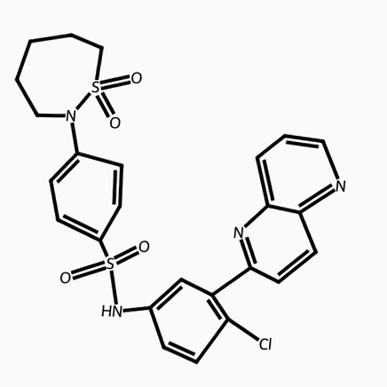 O=S(=O)(Nc1ccc(Cl)c(-c2ccc3ncccc3n2)c1)c1ccc(N2CCCCCS2(=O)=O)cc1